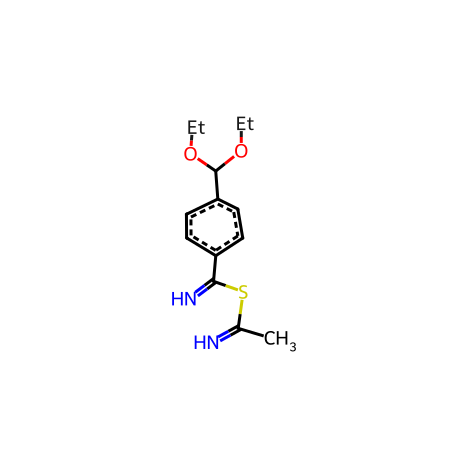 CCOC(OCC)c1ccc(C(=N)SC(C)=N)cc1